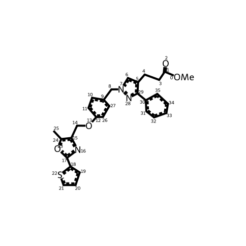 COC(=O)CCc1cn(Cc2ccc(OCc3nc(-c4cccs4)oc3C)cc2)nc1-c1ccccc1